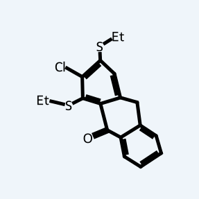 CCSc1cc2c(c(SCC)c1Cl)C(=O)c1ccccc1C2